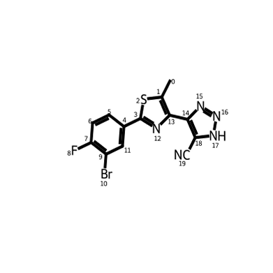 Cc1sc(-c2ccc(F)c(Br)c2)nc1-c1nn[nH]c1C#N